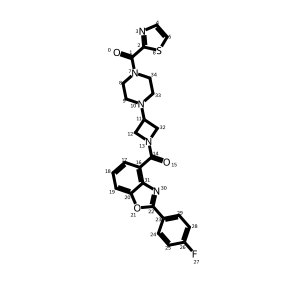 O=C(c1nccs1)N1CCN(C2CN(C(=O)c3cccc4oc(-c5ccc(F)cc5)nc34)C2)CC1